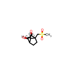 CC1(C)C2CCC1(CS(C)(=O)=O)C(=O)C2=O